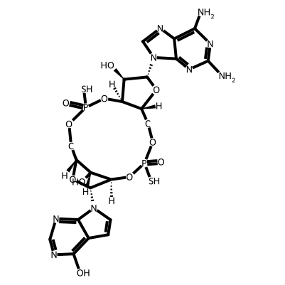 Nc1nc(N)c2ncn([C@@H]3O[C@@H]4COP(=O)(S)O[C@@H]5[C@H](O)[C@@H](COP(=O)(S)O[C@H]4[C@H]3O)O[C@H]5n3ccc4c(O)ncnc43)c2n1